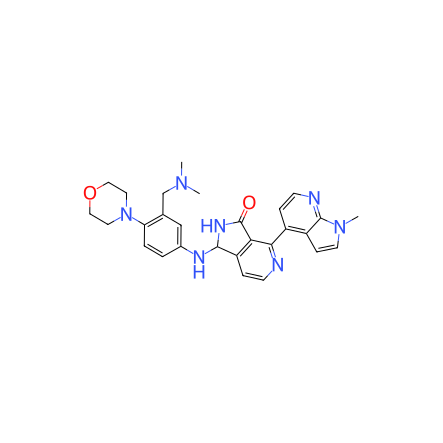 CN(C)Cc1cc(NC2NC(=O)c3c2ccnc3-c2ccnc3c2ccn3C)ccc1N1CCOCC1